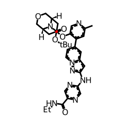 CCNC(=O)c1cnc(Nc2cc3cc(-c4cc(C)ncc4OC4C[C@H]5COC[C@@H](C4)N5C(=O)OC(C)(C)C)ccn3n2)cn1